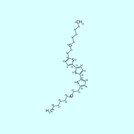 CCCCCCOCCc1ccc(-c2ccc(-c3ccc(CCOCCCCCC)s3)s2)s1